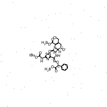 BOC(=O)C1=C(CCl)C[S+]([O-])[C@@H]2[C@H](N/C(=N\O[C@H](C(=O)OB)c3ccccc3)c3nsc(NC(=O)OC(C)(C)C)n3)C(=O)N12